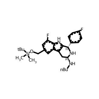 CCCCN[C@H]1Cc2c([nH]c3c(F)cc(CO[Si](C)(C)C(C)(C)C)cc23)[C@H](c2ccc(F)cc2)N1